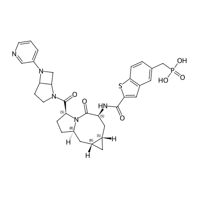 O=C(N[C@H]1C[C@@H]2C[C@@H]2C[C@H]2CC[C@@H](C(=O)N3CCC4C3CN4c3cccnc3)N2C1=O)c1cc2cc(CP(=O)(O)O)ccc2s1